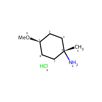 CO[C@H]1CC[C@](C)(N)CC1.Cl